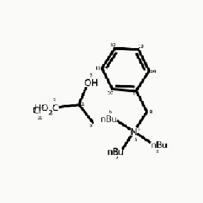 CC(O)C(=O)O.CCCC[N+](CCCC)(CCCC)Cc1ccccc1.[Cl-]